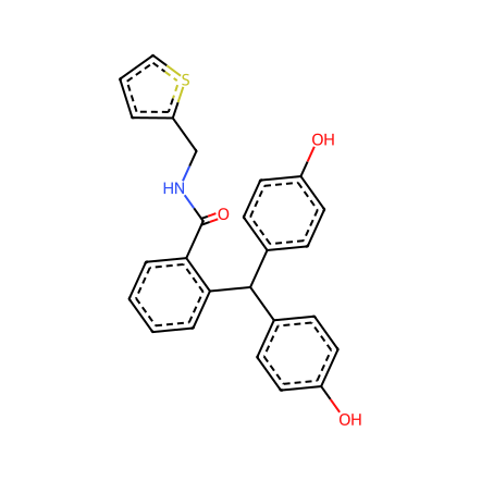 O=C(NCc1cccs1)c1ccccc1C(c1ccc(O)cc1)c1ccc(O)cc1